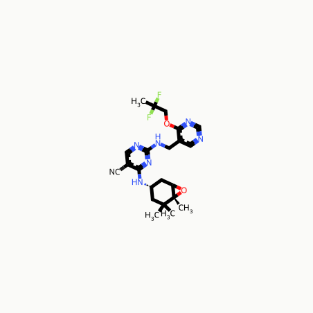 CC(F)(F)COc1ncncc1CNc1ncc(C#N)c(N[C@@H]2CC3O[C@]3(C)C(C)(C)C2)n1